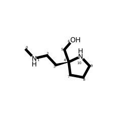 CNCC[C@]1(CO)CCCN1